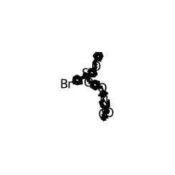 CC(C)(C)OC(=O)N1CCN([C@H]2C[C@H](Oc3ccc(Oc4c(-c5ccc(Br)cc5)sc5cc(OCc6ccccc6)ccc45)cc3)C2)CC1